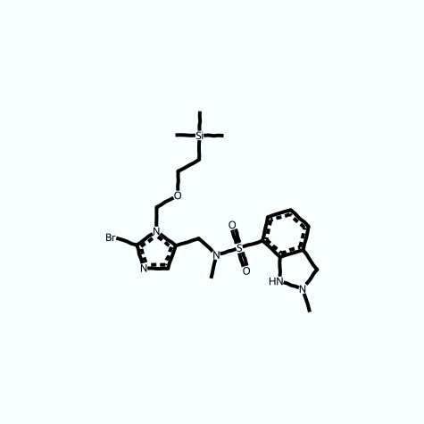 CN1Cc2cccc(S(=O)(=O)N(C)Cc3cnc(Br)n3COCC[Si](C)(C)C)c2N1